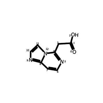 O=C(O)Cc1nccc2nccn12